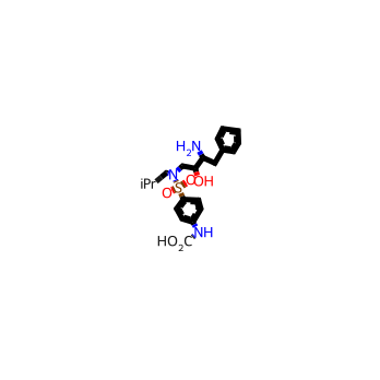 CC(C)CN(CC(O)C(N)Cc1ccccc1)S(=O)(=O)c1ccc(NC(=O)O)cc1